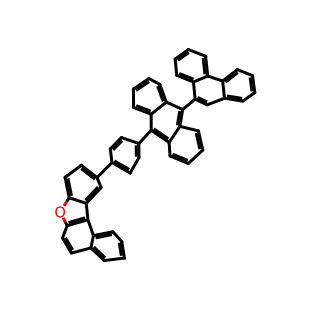 c1ccc2c(c1)cc(-c1c3ccccc3c(-c3ccc(-c4ccc5oc6ccc7ccccc7c6c5c4)cc3)c3ccccc13)c1ccccc12